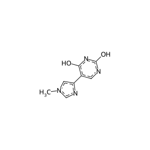 Cn1cnc(-c2cnc(O)nc2O)c1